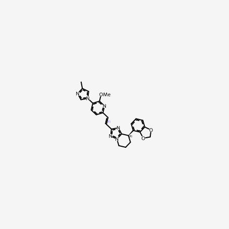 COc1nc(/C=C/c2nc3n(n2)CCC[C@@H]3c2cccc3c2OCO3)ccc1-n1cnc(C)c1